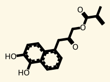 C=C(C)C(=O)OCC(=O)Cc1cccc2c(O)c(O)ccc12